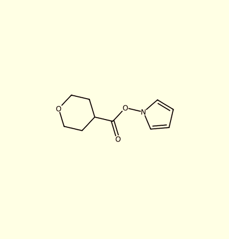 O=C(On1cccc1)C1CCOCC1